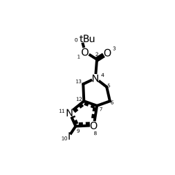 CC(C)(C)OC(=O)N1CCc2oc(I)nc2C1